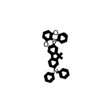 CC1(C)c2cc(N(c3ccccc3)c3ccccc3)ccc2-c2cc3c(cc21)B1c2ccc#cc2Oc2cccc(c21)O3